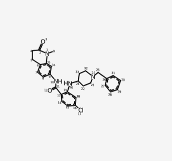 CN1C(=O)CCc2ccc(NC(=O)c3ccc(Cl)cc3NC3CCN(Cc4ccccc4)CC3)cc21